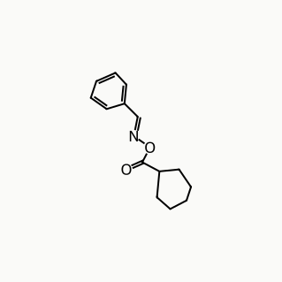 O=C(O/N=C/c1ccccc1)C1CCCCC1